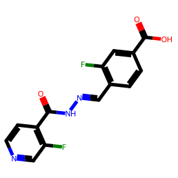 O=C(O)c1ccc(/C=N/NC(=O)c2ccncc2F)c(F)c1